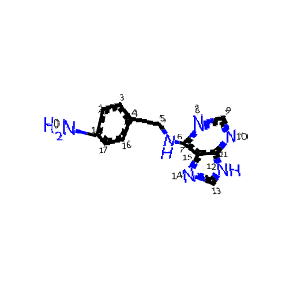 Nc1ccc(CNc2ncnc3[nH]cnc23)cc1